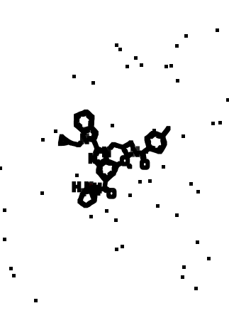 COc1cc(C(=O)N2CC3CCC2[C@@H]3N)cc2nc(-c3cc4ccccc4n3CC3CC3)n(CC3CN(C(=O)c4ccc(C)cc4)C3)c12